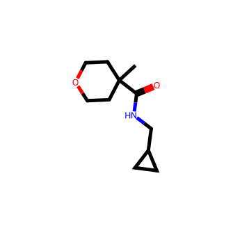 CC1(C(=O)NCC2CC2)CCOCC1